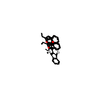 CCc1cc(C2=C3c4ccccc4[CH]2[Zr][CH]2C(c4cc(CC)cc5ccccc45)=C(c4ccccc42)[Si]3(C)C)c2ccccc2c1